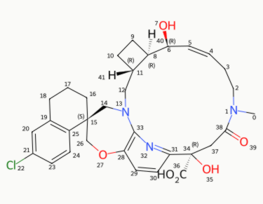 CN1CCC=C[C@H](O)[C@@H]2CC[C@H]2CN2C[C@@]3(CCCc4cc(Cl)ccc43)COc3ccc(nc32)[C@@](O)(C(=O)O)CC1=O